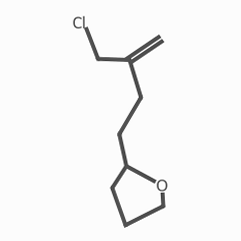 C=C(CCl)CCC1CCCO1